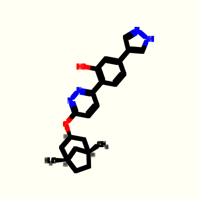 C[C@]12CC[C@](C)(C[C@@H](Oc3ccc(-c4ccc(-c5cn[nH]c5)cc4O)nn3)C1)C2